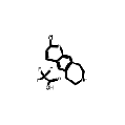 Clc1ccc2cc3c(cc2n1)CCNCC3.O=C(O)C(F)(F)F